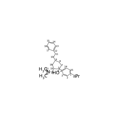 CC(C)c1ccc(C2(O)CCC(CCc3ccccc3)CC2CN(C)C)cc1